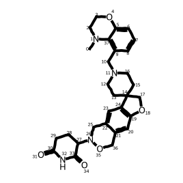 CN1CCOc2cccc(CN3CCC4(CC3)COc3cc5c(cc34)CN(C3CCC(=O)NC3=O)OC5)c21